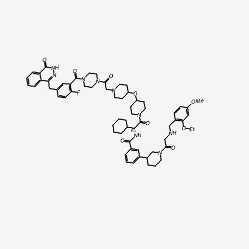 CCOc1cc(OC)ccc1CNCC(=O)N1CCCC(c2cccc(C(=O)N[C@@H](C(=O)N3CCC(OC4CCN(CC(=O)N5CCN(C(=O)c6cc(Cc7n[nH]c(=O)c8ccccc78)ccc6F)CC5)CC4)CC3)C3CCCCC3)c2)C1